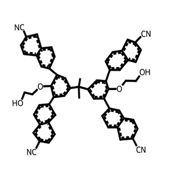 CC(C)(c1cc(-c2ccc3cc(C#N)ccc3c2)c(OCCO)c(-c2ccc3cc(C#N)ccc3c2)c1)c1cc(-c2ccc3cc(C#N)ccc3c2)c(OCCO)c(-c2ccc3cc(C#N)ccc3c2)c1